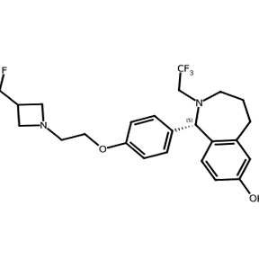 Oc1ccc2c(c1)CCCN(CC(F)(F)F)[C@H]2c1ccc(OCCN2CC(CF)C2)cc1